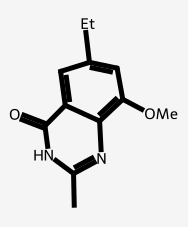 CCc1cc(OC)c2nc(C)[nH]c(=O)c2c1